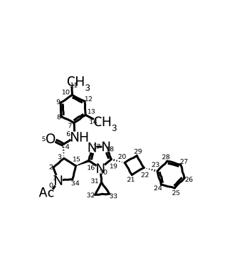 CC(=O)N1C[C@H](C(=O)Nc2ccc(C)cc2C)[C@@H](c2nnc([C@H]3C[C@@H](c4ccccc4)C3)n2C2CC2)C1